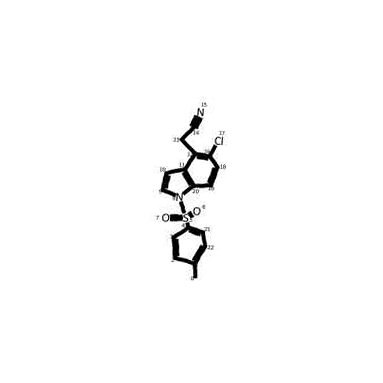 Cc1ccc(S(=O)(=O)n2ccc3c(CC#N)c(Cl)ccc32)cc1